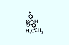 CC(C)c1ccc2c(c1)C1OCOC1C(c1ccc(F)cc1)N2